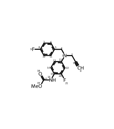 C#CCN(Cc1ccc(F)cc1)c1ccc(NC(=O)OC)c(F)c1